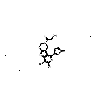 Cn1ccc(-c2nc(Cl)c(Br)c3[nH]c4c(c23)CN(C(=O)CO)CC4)n1